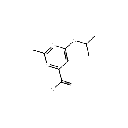 Cc1nc(NC(C)C)cc(C(N)=O)n1